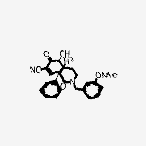 COc1cccc(CN2CC[C@H]3[C@H](C)C(=O)C(C#N)=C[C@]3(c3ccccc3)C2=O)c1